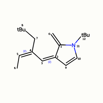 C=c1/c(=C\C(=C/C)CC(C)(C)C)ccn1C(C)(C)C